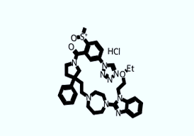 CCOCCn1c(N2CCCN(CCC3(c4ccccc4)CCN(C(=O)c4cc(-n5cnnn5)ccc4[S+](C)[O-])C3)CC2)nc2ccccc21.Cl